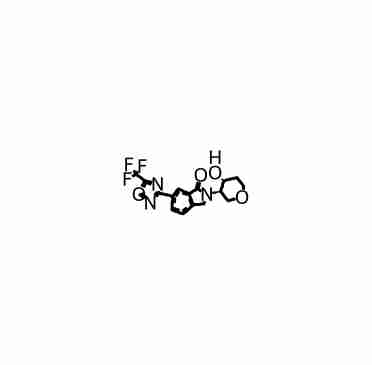 O=C1c2cc(-c3noc(C(F)(F)F)n3)ccc2CN1[C@@H]1COCC[C@H]1O